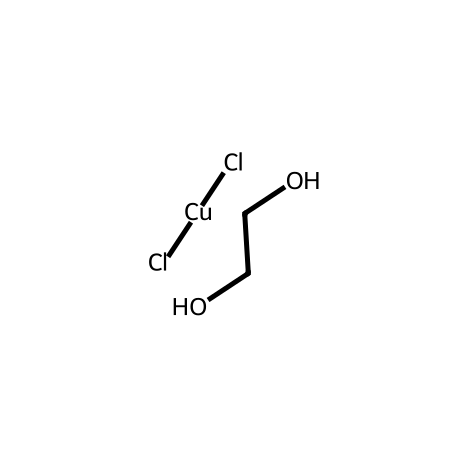 OCCO.[Cl][Cu][Cl]